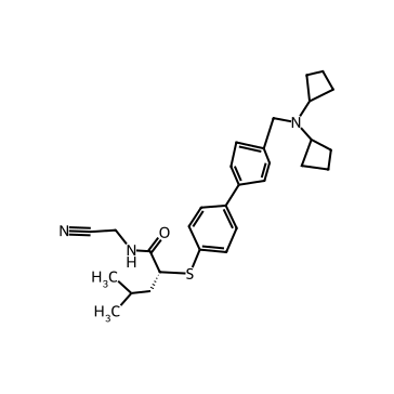 CC(C)C[C@@H](Sc1ccc(-c2ccc(CN(C3CCC3)C3CCC3)cc2)cc1)C(=O)NCC#N